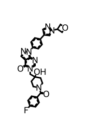 O=C(c1ccc(F)cc1)N1CCC(O)(Cn2cnc3c(cnn3-c3ccc(-c4cnn(C5COC5)c4)cc3)c2=O)CC1